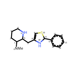 CNC1CCCNC1CC1=CSC(c2ccccc2)N1